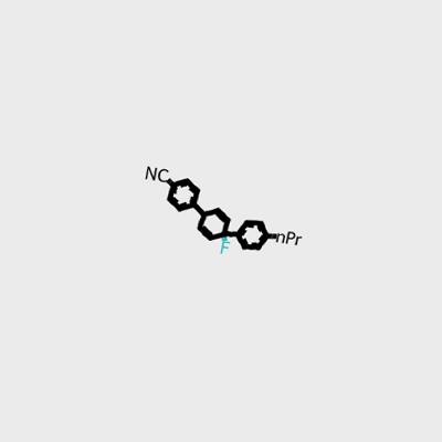 CCCc1ccc(C2(F)C=CC(c3ccc(C#N)cc3)C=C2)cc1